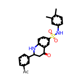 CC(=O)c1cccc(C2CC(=O)c3cc(S(=O)(=O)Nc4ccc(C)c(C)c4)ccc3N2)c1